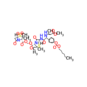 CCCCCCOC(=O)Oc1ccc(C(NC(C)=CC(=O)OC)C(=O)N[C@@H]2C(=O)N3[C@@H]2SC(C)(C)[C@@H]3C(=O)OCOC(=O)[C@@H]2N3C(=O)C[C@H]3S(=O)(=O)C2(C)C)cc1